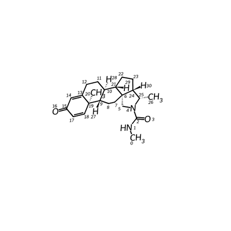 CNC(=O)N1C[C@]23CC[C@H]4[C@@H](CCC5=CC(=O)C=C[C@@]54C)[C@@H]2CC[C@@H]3[C@@H]1C